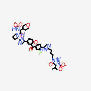 COC(=O)N[C@H](C(=O)NCCCCC1=NCC(c2cc3oc4ccc(C5CN=C([C@@H]6CCCN6C(=O)[C@@H](NC(=O)OC)C6CCOCC6)N5)cc4c(=O)c3cc2F)N1)C(C)C